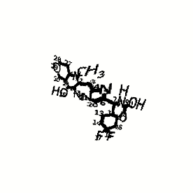 CN(c1cc2nc(C(NC(=O)O)C3CCC(F)(F)CC3)cn2nc1CO)C1CCOCC1